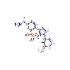 CCS(=O)(=O)c1cc(N(C)N)cnc1-c1nnc(-c2cc(C(F)(F)F)ccn2)n1C